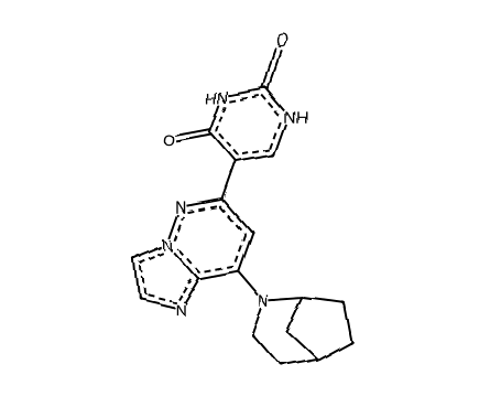 O=c1[nH]cc(-c2cc(N3CCC4CCC3C4)c3nccn3n2)c(=O)[nH]1